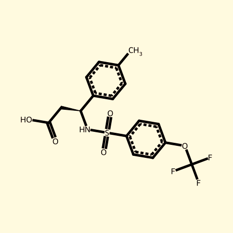 Cc1ccc([C@H](CC(=O)O)NS(=O)(=O)c2ccc(OC(F)(F)F)cc2)cc1